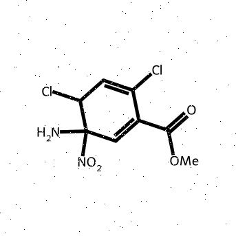 COC(=O)C1=CC(N)([N+](=O)[O-])C(Cl)C=C1Cl